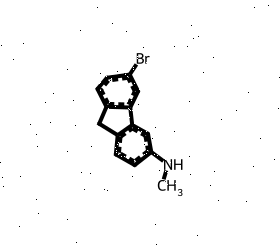 CNc1ccc2c(c1)-c1cc(Br)ccc1C2